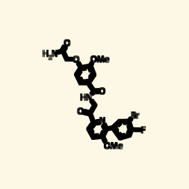 COc1cc(C(=O)NCC(=O)c2ccc(OC)c(-c3ccc(F)c(Br)c3)n2)ccc1OCC(N)=O